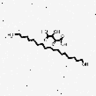 CCCCCCCCCCCCCCCCCCO.O=C(O)C(O)C(O)C(=O)O